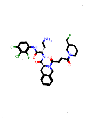 NCC[C@H](NC(=O)[C@@H]1Cc2ccccc2CN1C(=O)CCC(=O)N1CCCC(CF)C1)C(=O)Nc1ccc(Cl)c(Cl)c1F